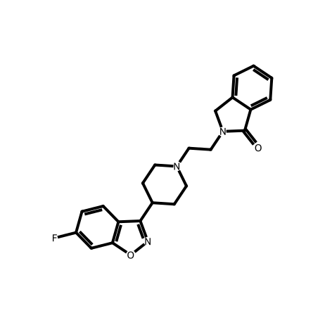 O=C1c2ccccc2CN1CCN1CCC(c2noc3cc(F)ccc23)CC1